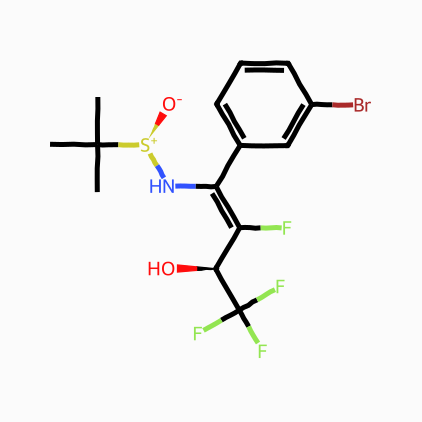 CC(C)(C)[S@@+]([O-])N/C(=C(/F)[C@H](O)C(F)(F)F)c1cccc(Br)c1